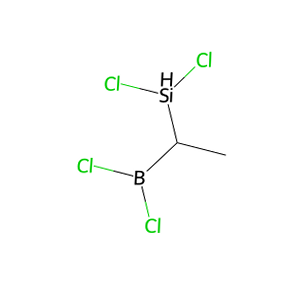 CC(B(Cl)Cl)[SiH](Cl)Cl